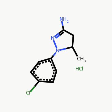 CC1CC(N)=NN1c1ccc(Cl)cc1.Cl